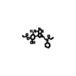 C=CC(=O)Oc1ccc(-c2cn(CCN(C(=O)C=C)c3ccccc3)c3ncnc(N)c23)cc1O